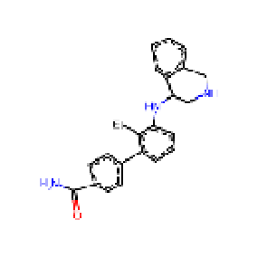 CCc1c(NC2CNCc3ccccc32)cccc1-c1ccc(C(N)=O)cc1